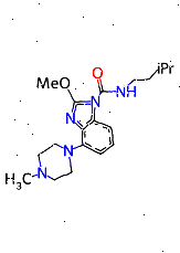 COc1nc2c(N3CCN(C)CC3)cccc2n1C(=O)NCCC(C)C